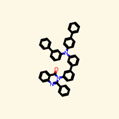 O=c1c2ccccc2nc(-c2ccccc2)n1-c1cccc(-c2cccc(N(c3ccc(-c4ccccc4)cc3)c3cccc(-c4ccccc4)c3)c2)c1